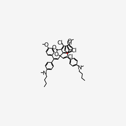 CCCCN(C)c1ccc(C(=CC2(C=C(c3ccc(OC)cc3)c3ccc(N(C)CCCC)cc3)OC(=O)c3c(Cl)c(Cl)c(Cl)c(Cl)c32)c2ccc(OC)cc2)cc1